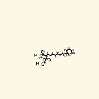 CCOC(=O)C(CCCCCCCOC1CCCCO1)C(C)=O